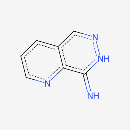 N=c1[nH]ncc2cccnc12